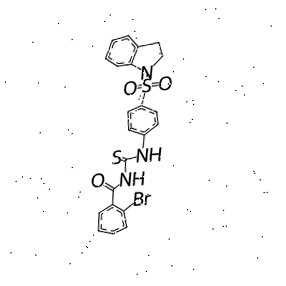 O=C(NC(=S)Nc1ccc(S(=O)(=O)N2CCc3ccccc32)cc1)c1ccccc1Br